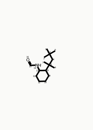 CC(C)(C)CC(C)(C)C1CCCCC1NC=O